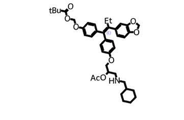 CC/C(=C(\c1ccc(OCOC(=O)C(C)(C)C)cc1)c1ccc(OCC(CNCC2CCCCC2)OC(C)=O)cc1)c1ccc2c(c1)OCO2